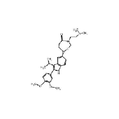 COc1ccc(-c2[nH]c3ccc(N4CCC(=O)N(CCN(C)C)CC4)cc3c2C(C)C)cc1OC